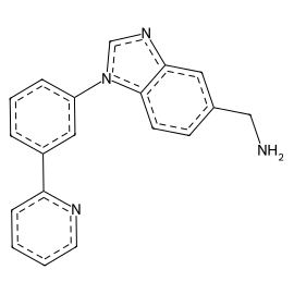 NCc1ccc2c(c1)ncn2-c1cccc(-c2ccccn2)c1